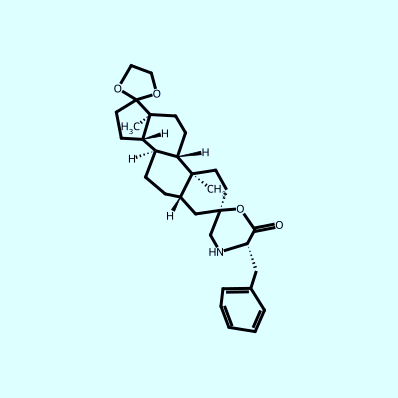 C[C@]12CC[C@]3(CN[C@@H](Cc4ccccc4)C(=O)O3)C[C@@H]1CC[C@@H]1[C@@H]2CC[C@@]2(C)[C@H]1CCC21OCCO1